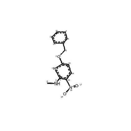 CNc1nc(OCc2ccccc2)ccc1[N+](=O)[O-]